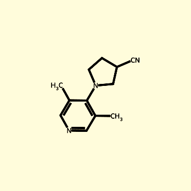 Cc1cncc(C)c1N1CCC(C#N)C1